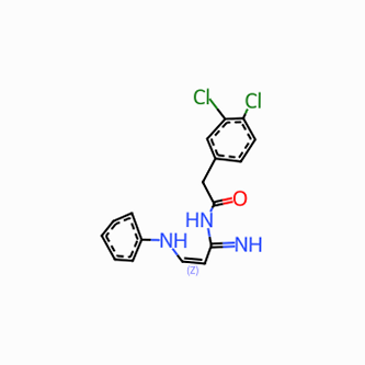 N=C(/C=C\Nc1ccccc1)NC(=O)Cc1ccc(Cl)c(Cl)c1